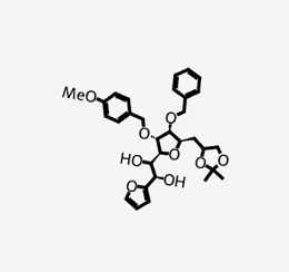 COc1ccc(CO[C@@H]2[C@@H](OCc3ccccc3)[C@@H](CC3COC(C)(C)O3)O[C@H]2C(O)[C@@H](O)c2ccco2)cc1